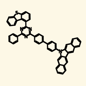 c1ccc(-c2nc(-c3ccc(-c4ccc(-n5c6cc7ccccc7cc6c6cc7ccccc7cc65)cc4)cc3)nc(-c3cccc4sc5ccccc5c34)n2)cc1